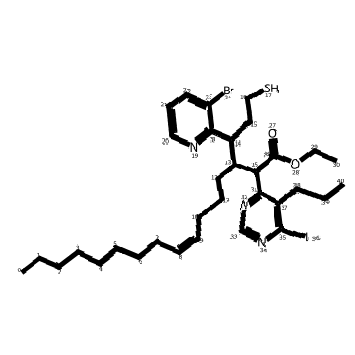 CCCCCCCC/C=C\CCCC(C(CCS)c1ncccc1Br)C(C(=O)OCC)c1ncnc(I)c1CCC